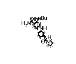 CCCCNc1nc(Nc2cccc(NC(=O)N3CCCC3)c2)ncc1C(N)=O